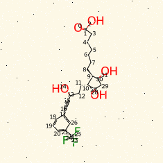 O=C(O)CCCCCC[C@@H]1[C@@H](CCC(O)C#Cc2cccc(C(F)(F)F)c2)[C@H](O)C[C@@H]1O